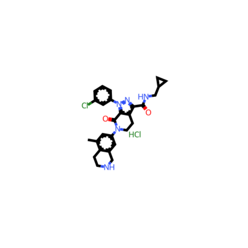 Cc1cc(N2CCc3c(C(=O)NCC4CC4)nn(-c4cccc(Cl)c4)c3C2=O)cc2c1CCNC2.Cl